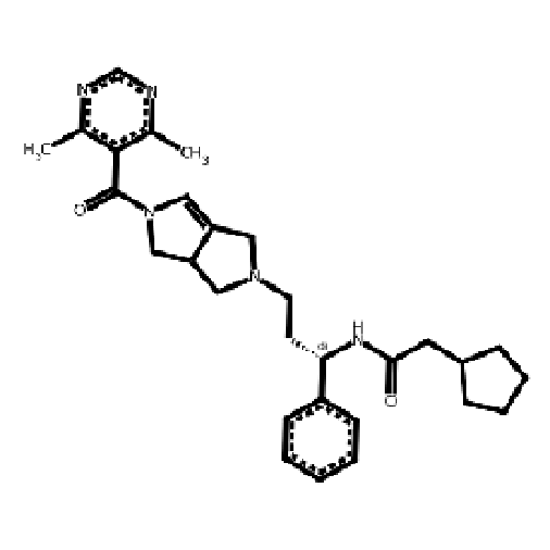 Cc1ncnc(C)c1C(=O)N1C=C2CN(CC[C@H](NC(=O)CC3CCCC3)c3ccccc3)CC2C1